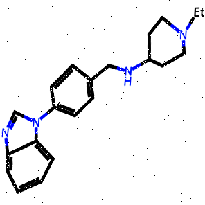 CCN1CCC(NCc2ccc(-n3cnc4ccccc43)cc2)CC1